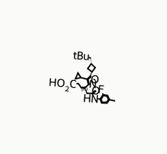 Cc1ccc(NC(=O)C[C@@H](CCC(=O)O)c2noc([C@H]3C[C@H](CC(C)(C)C)C3)c2C2CC2)c(F)c1